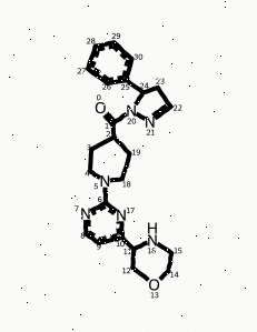 O=C(C1CCN(c2nccc(C3COCCN3)n2)CC1)N1N=CCC1c1ccccc1